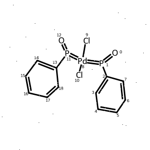 O=[P](c1ccccc1)=[Pd]([Cl])([Cl])=[P](=O)c1ccccc1